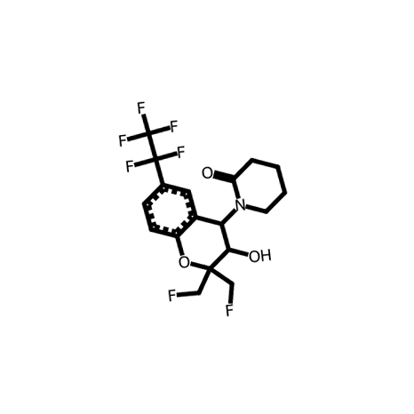 O=C1CCCCN1C1c2cc(C(F)(F)C(F)(F)F)ccc2OC(CF)(CF)C1O